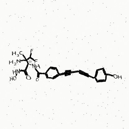 CC(N)(C(F)F)[C@H](NC(=O)c1ccc(C#CC#Cc2ccc(O)cc2)cc1)C(=O)NO